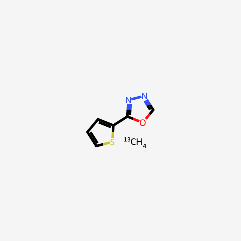 [13CH4].c1csc(-c2nnco2)c1